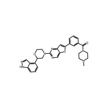 CN1CCN(C(=O)c2cccc(-c3cc4nc(N5CCOC(c6cccc7[nH]ncc67)C5)ncc4s3)c2)CC1